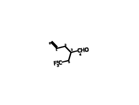 C=CCC(C=O)CC(F)(F)F